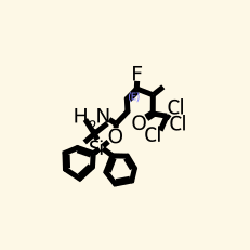 CC(C(=O)C(Cl)(Cl)Cl)/C(F)=C\CC(N)O[Si](c1ccccc1)(c1ccccc1)C(C)(C)C